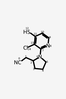 N#CCC1CCCN1c1nccc(S)c1Cl